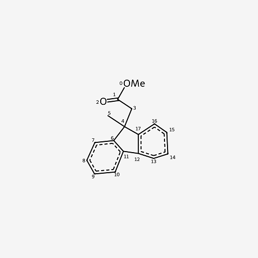 COC(=O)CC1(C)c2ccccc2-c2ccccc21